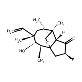 C=C[C@]1(C)CC[C@]2(C)[C@H](C)CC[C@]3(C[C@H](F)C(=O)[C@@H]23)[C@@H](C)[C@@H]1O